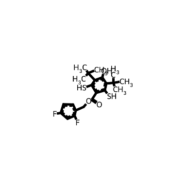 CC(C)(C)c1c(O)c(C(C)(C)C)c(S)c(C(=O)OCc2ccc(F)cc2F)c1S